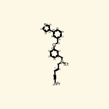 CCCC#C/C=C/CN(CC)Cc1cccc(OCc2cccc(-c3ccsc3)c2)c1